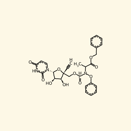 C#C[C@]1(CO[PH](=O)N(Oc2ccccc2)C(C)C(=O)OCc2ccccc2)O[C@@H](n2ccc(=O)[nH]c2=O)[C@H](O)[C@@H]1O